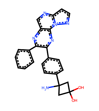 NC1(c2ccc(-c3nc4c(cnc5ccnn54)nc3-c3ccccc3)cc2)CC(O)(O)C1